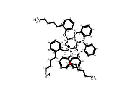 NCCCCc1ccccc1OP1N=P(Oc2ccccc2CCCCN)(Oc2ccccc2CCCCN)N(Oc2ccccc2)P(Oc2ccccc2)N1Oc1ccccc1